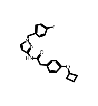 O=C(Cc1ccc(OC2CCC2)cc1)Nc1ccn(Cc2ccc(F)cc2)n1